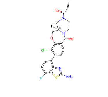 C=CC(=O)N1CCN2C(=O)c3ccc(-c4ccc(F)c5sc(N)nc45)c(Cl)c3OC[C@H]2C1